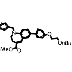 CCCCOCCOc1ccc(-c2ccc3c(c2)C=C(C(=O)OC)CCN3Cc2cnn(C)c2)cc1